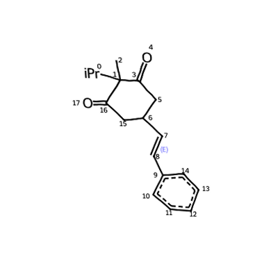 CC(C)C1(C)C(=O)CC(/C=C/c2ccccc2)CC1=O